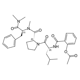 CC(=O)Oc1ccccc1C(=O)N[C@H](CC(C)C)C(=O)N1CCC[C@@H]1C(=O)N(C)[C@@H](Cc1ccccc1)C(=O)N(C)C